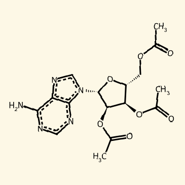 CC(=O)OC[C@H]1O[C@@H](n2cnc3c(N)ncnc32)[C@H](OC(C)=O)[C@@H]1OC(C)=O